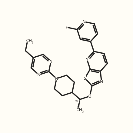 CCc1cnc(N2CCC([C@H](C)Oc3nc4ccc(-c5ccnc(F)c5)nc4s3)CC2)nc1